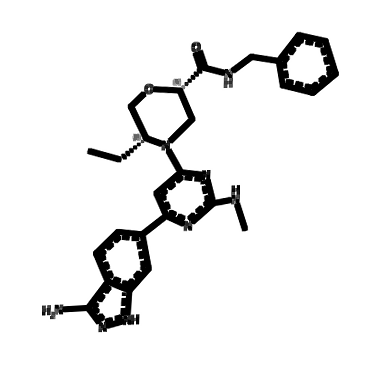 CC[C@@H]1CO[C@H](C(=O)NCc2ccccc2)CN1c1cc(-c2ccc3c(N)n[nH]c3c2)nc(NC)n1